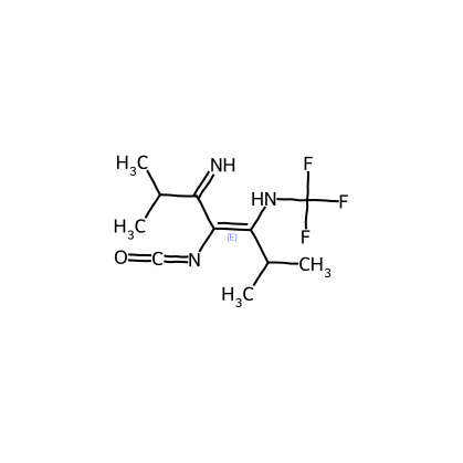 CC(C)C(=N)/C(N=C=O)=C(\NC(F)(F)F)C(C)C